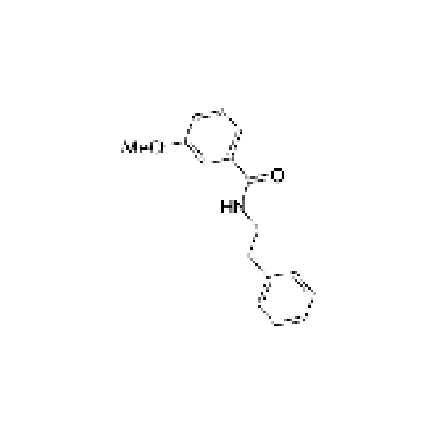 COc1cccc(C(=O)NCCc2ccccc2)c1